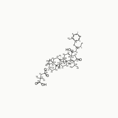 CCN(Cc1ccccc1C)C[C@H](O)[C@@]12CC[C@]3(C)[C@H](CC[C@@H]4[C@@]5(C)CC[C@H](OC(=O)CC(C)(C)C(=O)O)C(C)(C)[C@@H]5CC[C@]43C)C1=C(C(C)C)C(=O)C2